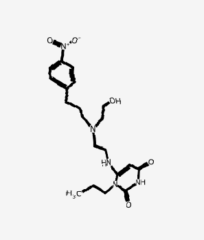 CCCn1c(NCCN(CCO)CCCc2ccc([N+](=O)[O-])cc2)cc(=O)[nH]c1=O